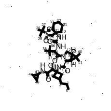 CCCC1CC(NC(=O)[C@@H]2[C@@H]3[C@H](CN2C(=O)[C@@H](NC(=O)NC2(CS(=O)(=O)C(C)(C)C)CCCCC2)C(C)(C)C)C3(C)C)(C(=O)C(=O)NC2CC2)C1